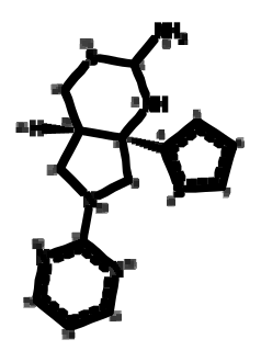 NC1N[C@@]2(c3cccs3)CN(c3ncccn3)C[C@H]2CS1